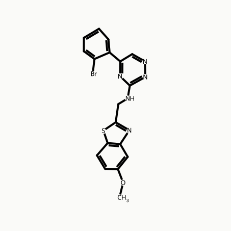 COc1ccc2sc(CNc3nncc(-c4ccccc4Br)n3)nc2c1